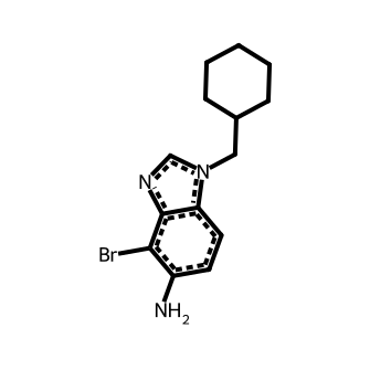 Nc1ccc2c(ncn2CC2CCCCC2)c1Br